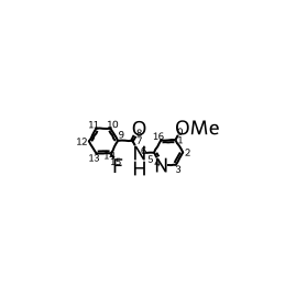 COc1ccnc(NC(=O)c2ccccc2F)c1